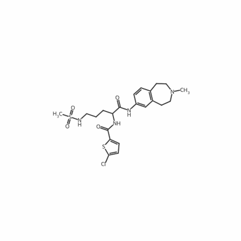 CN1CCc2ccc(NC(=O)C(CCCNS(C)(=O)=O)NC(=O)c3ccc(Cl)s3)cc2CC1